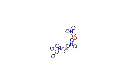 CC1CC(N(c2ccc(-c3ccccc3)cc2)C2(C)C=C(c3ccccc3)C=CC2)=Cc2c1sc1cc(N(c3ccccc3)c3ccc4c(c3)oc3ccc(N(c5ccccc5)c5ccccc5)cc34)ccc21